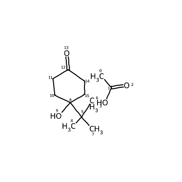 CC(=O)O.CC(C)(C)C1(O)CCC(=O)CC1